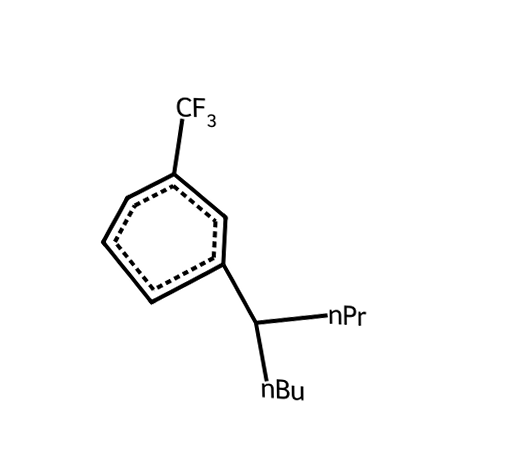 CCCCC(CCC)c1cccc(C(F)(F)F)c1